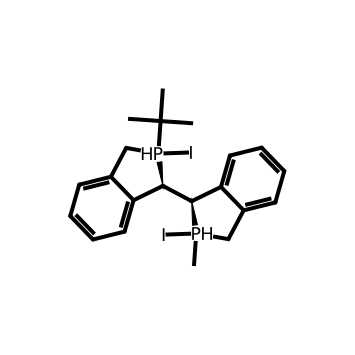 CC(C)(C)[PH]1(I)Cc2ccccc2[C@@H]1[C@H]1c2ccccc2C[PH]1(C)I